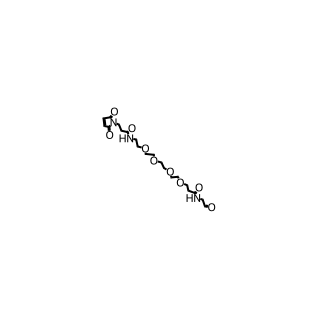 O=CCNC(=O)CCOCCOCCOCCOCCNC(=O)CCN1C(=O)C=CC1=O